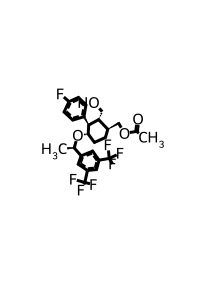 CC(=O)OC[C@H]1CC[C@H](O[C@H](C)c2cc(C(F)(F)F)cc(C(F)(F)F)c2)[C@@H](c2ccc(F)cc2)[C@@H]1CO